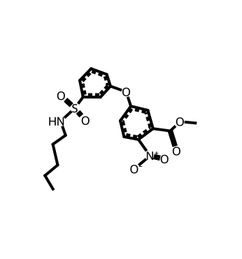 CCCCCNS(=O)(=O)c1cccc(Oc2ccc([N+](=O)[O-])c(C(=O)OC)c2)c1